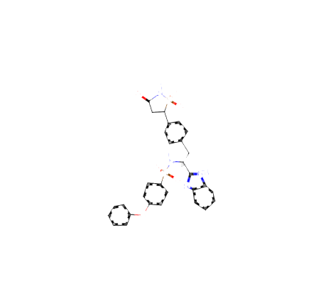 O=C1CC(c2ccc(C[C@H](NS(=O)(=O)c3ccc(Oc4ccccc4)cc3)c3nc4ccccc4[nH]3)cc2)S(=O)(=O)N1